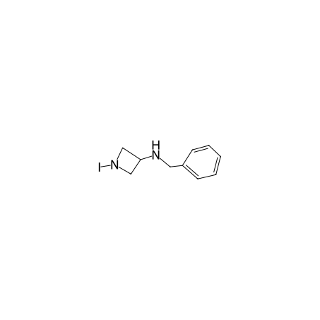 IN1CC(NCc2ccccc2)C1